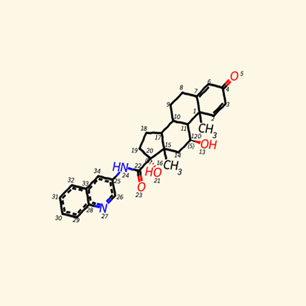 CC12C=CC(=O)C=C1CCC1C2[C@@H](O)CC2(C)C1CC[C@]2(O)C(=O)Nc1cnc2ccccc2c1